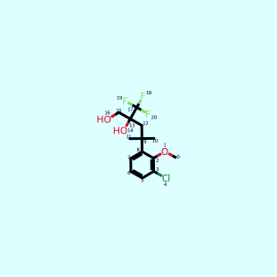 COc1c(Cl)cccc1C(C)(C)CC(O)(CO)C(F)(F)F